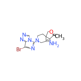 C[C@@H]1OCC2(CCN(c3ncc(Br)c4nncn34)CC2)[C@@H]1N